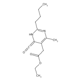 CCCCC1=NC(C)=C(CC(=O)OCC)C(=C=O)N1